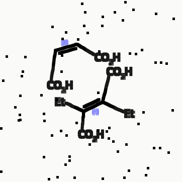 CC/C(C(=O)O)=C(/CC)C(=O)O.O=C(O)/C=C\C(=O)O